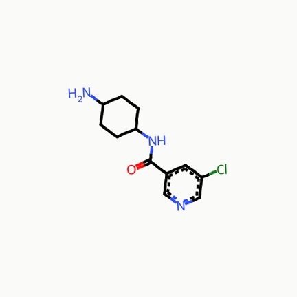 NC1CCC(NC(=O)c2cncc(Cl)c2)CC1